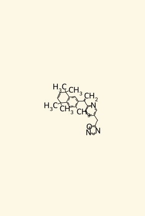 C=C(c1ccc(Cc2ncno2)cn1)c1cc2c(cc1C)C(C)(C)C=CC2(C)C